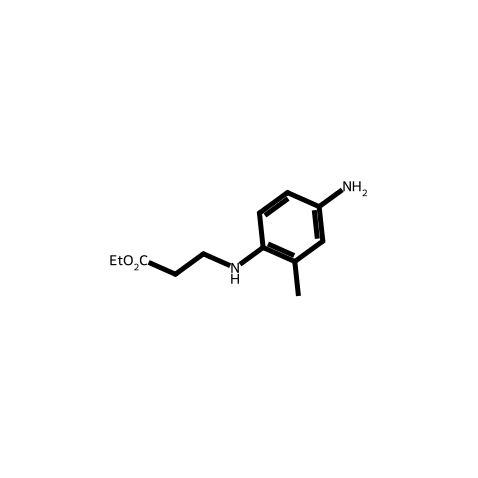 CCOC(=O)CCNc1ccc(N)cc1C